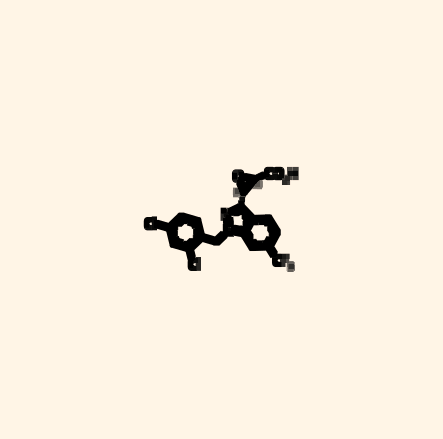 O=C(O)[C@@H]1O[C@H]1c1nn(Cc2ccc(Cl)cc2Cl)c2cc(C(F)(F)F)ccc12